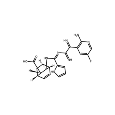 N=C(/N=C(/N[C@@H]1[C@@H](C(=O)O)[C@@H]2C=C[C@H]1CC2)c1ccc[nH]1)C(=N)c1cc(F)cnc1N